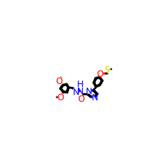 COc1cc(C=NNC(=O)c2cncc(-c3ccc(OCSC)cc3)n2)cc(OC)c1